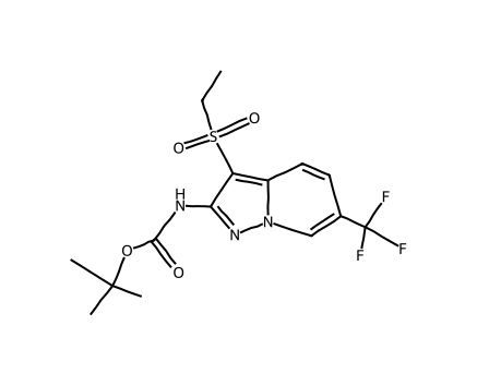 CCS(=O)(=O)c1c(NC(=O)OC(C)(C)C)nn2cc(C(F)(F)F)ccc12